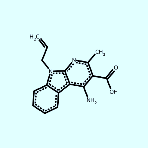 C=CCn1c2ccccc2c2c(N)c(C(=O)O)c(C)nc21